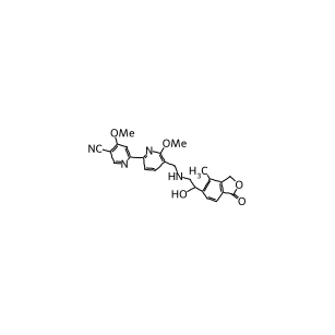 COc1cc(-c2ccc(CNCC(O)c3ccc4c(c3C)COC4=O)c(OC)n2)ncc1C#N